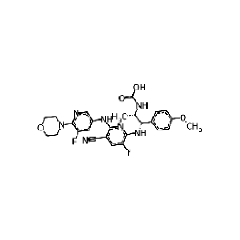 COc1ccc([C@H](Nc2nc(Nc3cnc(N4CCOCC4)c(F)c3)c(C#N)cc2F)[C@H](C)NC(=O)O)cc1